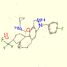 O=C(NC1CC1)[C@@]12CC[C@](O)(C(F)(F)F)C[C@H]1CCCc1cc3c(cc12)CNN3c1ccc(F)cc1